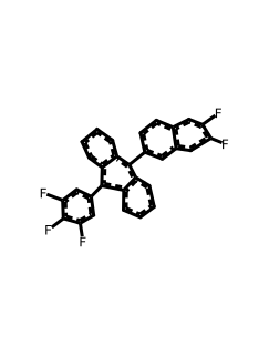 Fc1cc2ccc(-c3c4ccccc4c(-c4cc(F)c(F)c(F)c4)c4ccccc34)cc2cc1F